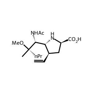 C=C[C@@H]1C[C@H](C(=O)O)N[C@H]1[C@@H](NC(C)=O)[C@](C)(CCC)OC